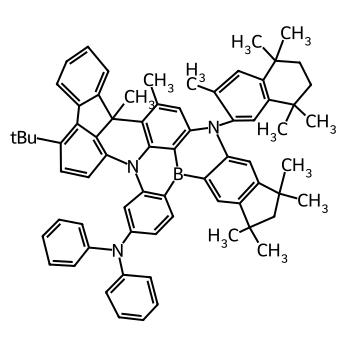 Cc1cc2c(cc1N1c3cc4c(cc3B3c5ccc(N(c6ccccc6)c6ccccc6)cc5N5c6ccc(C(C)(C)C)c7c6C(C)(c6ccccc6-7)c6c(C)cc1c3c65)C(C)(C)CC4(C)C)C(C)(C)CCC2(C)C